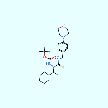 CC(C1CCCCC1)[C@@H](NC(=O)OC(C)(C)C)C(=S)NCc1ccc(N2CCOCC2)cc1